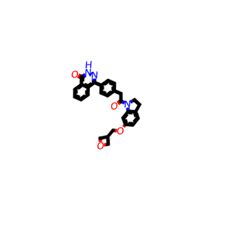 O=C(Cc1ccc(-c2n[nH]c(=O)c3ccccc23)cc1)N1CCc2ccc(OCC3COC3)cc21